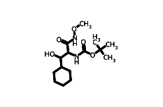 CONC(=O)C(NC(=O)OC(C)(C)C)C(O)C1CCCCC1